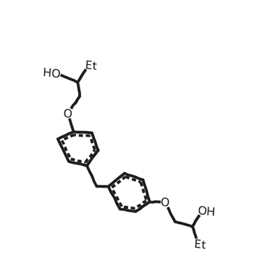 CCC(O)COc1ccc(Cc2ccc(OCC(O)CC)cc2)cc1